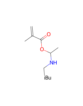 C=C(C)C(=O)OC(C)NCC(C)CC